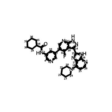 O=C(Nc1cncc(-c2cnc3[nH]nc(-c4nc5c(N6CCCCC6)ccnc5[nH]4)c3c2F)c1)C1CCCCC1